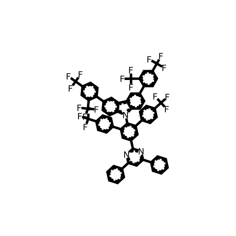 FC(F)(F)c1ccc(-c2cc(-c3nc(-c4ccccc4)cc(-c4ccccc4)n3)cc(-c3ccc(C(F)(F)F)cc3)c2-n2c3ccc(-c4ccc(C(F)(F)F)cc4C(F)(F)F)cc3c3cc(-c4ccc(C(F)(F)F)cc4C(F)(F)F)ccc32)cc1